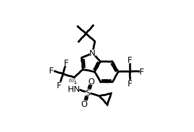 CC(C)(C)Cn1cc([C@H](NS(=O)(=O)C2CC2)C(F)(F)F)c2ccc(C(F)(F)F)cc21